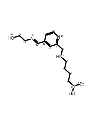 CCN(CC)CCCCNCc1cc(/C=N/CCO)ccn1